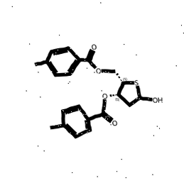 Cc1ccc(C(=O)OC[C@@H]2SC(O)C[C@@H]2OC(=O)c2ccc(C)cc2)cc1